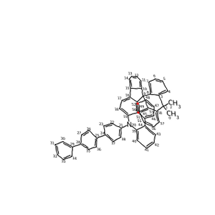 CC1(C)c2ccccc2C2(c3ccccc3-c3ccc(N(c4ccc(-c5ccc(-c6ccccc6)cc5)cc4)c4ccccc4-c4ccccc4)cc32)c2ccccc21